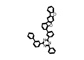 c1ccc(-c2cccc(-c3nc(-c4ccccc4)nc(-c4cccc(-c5cccc6c5oc5cc7oc8ccccc8c7cc56)c4)n3)c2)cc1